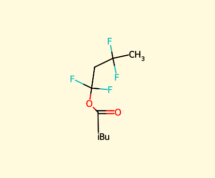 CCC(C)C(=O)OC(F)(F)CC(C)(F)F